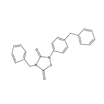 O=c1sn(-c2ccc(Cc3ccccc3)cc2)c(=O)n1Cc1ccccc1